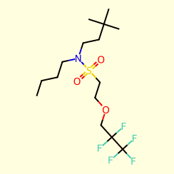 CCCCN(CCC(C)(C)C)S(=O)(=O)CCOCC(F)(F)C(F)(F)F